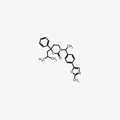 Cc1nnc(-c2ccc(C(C)N3CCC(CC(C)C)(c4ccccc4)OC3=O)cc2)o1